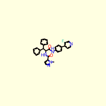 Cn1nccc1C(=O)NC(C(=O)Nc1ccc(-c2ccncc2F)cc1)C(c1ccccc1)c1ccccc1